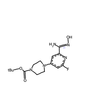 CC(C)(C)OC(=O)N1CCN(c2cc(F)nc(/C(N)=N/O)c2)CC1